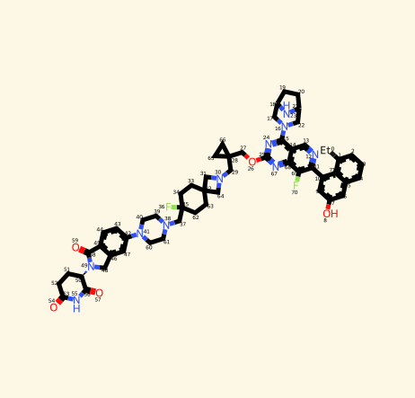 CCc1cccc2cc(O)cc(-c3ncc4c(N5CC6CCC(C5)N6)nc(OCC5(CN6CC7(CCC(F)(CN8CCN(c9ccc%10c(c9)CN([C@H]9CCC(=O)NC9=O)C%10=O)CC8)CC7)C6)CC5)nc4c3F)c12